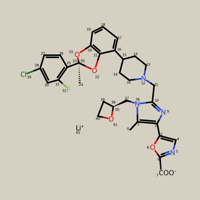 Cc1c(-c2cnc(C(=O)[O-])o2)nc(CN2CCC(c3cccc4c3O[C@@](C)(c3ccc(Cl)cc3F)O4)CC2)n1C[C@@H]1CCO1.[Li+]